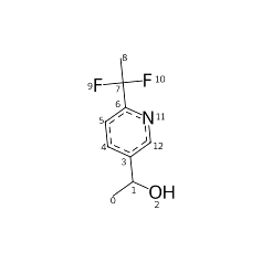 CC(O)c1ccc(C(C)(F)F)nc1